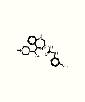 CC(=O)C(C1=N[C@@H](NC(=O)Nc2cccc(C(F)(F)F)c2)CNc2ccccc21)N1CCN(C)CC1